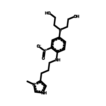 C[n+]1c[nH]cc1CCCNc1ccc(N(CCO)CCO)cc1[N+](=O)[O-]